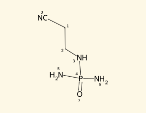 N#CCCNP(N)(N)=O